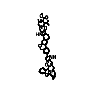 C=CCCN(Cc1ncc(-c2ccc3c(c2)COc2cc4c(cc2-3)CCc2nc(CN(CCC)C(=O)[C@@H](NC(=O)OC)C(C)C)[nH]c2-4)[nH]1)C(=O)[C@H](NC(=O)C1CC1)c1ccccc1